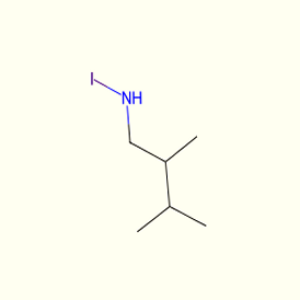 CC(C)C(C)CNI